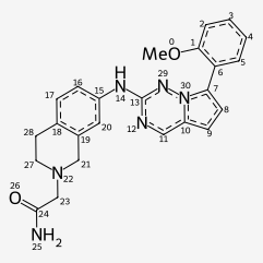 COc1ccccc1-c1ccc2cnc(Nc3ccc4c(c3)CN(CC(N)=O)CC4)nn12